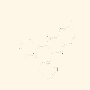 Cc1ccc2nc(-c3ccccn3)c(-c3ccccn3)nc2c1C